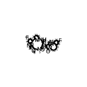 CO[C@H]1CN(C)C(=O)[C@@H]2C[C@@H](CN2c2cc(=O)n3c4c2cnn4-c2ccc(F)cc2CCCC3)Nc2cccc(n2)-c2cc(F)cc3nc(C)n(c23)C1